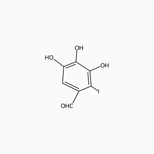 O=Cc1cc(O)c(O)c(O)c1I